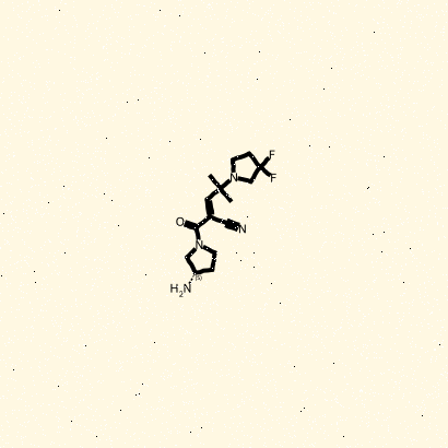 CC(C)(C=C(C#N)C(=O)N1CC[C@H](N)C1)N1CCC(F)(F)C1